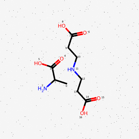 CC(N)C(=O)O.O=C(O)CCNCCC(=O)O